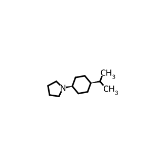 CC(C)[C@H]1CC[C@@H](N2CCCC2)CC1